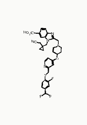 N#CCC1(Cn2c(CN3CCC(Oc4ccnc(COc5ccc(C(F)F)cc5F)c4)CC3)nc3ccc(C(=O)O)cc32)CC1